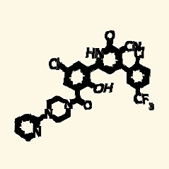 N#Cc1c(-c2cc(C(F)(F)F)ccc2Cl)cc(-c2cc(Cl)cc(C(=O)N3CCN(c4ccccn4)CC3)c2O)[nH]c1=O